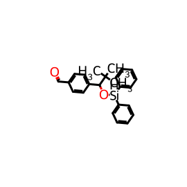 CC(C)(C)C(O[SiH](c1ccccc1)c1ccccc1)c1ccc(C=O)cc1